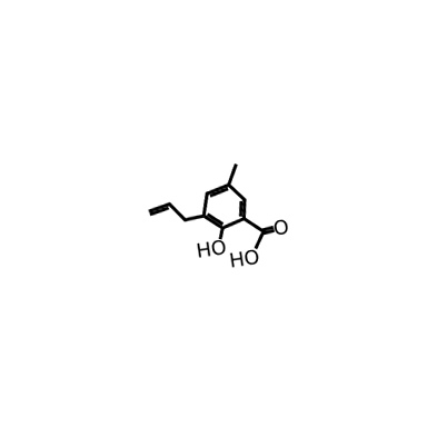 C=CCc1cc(C)cc(C(=O)O)c1O